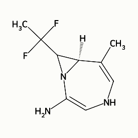 CC1=CNC=C(N)N2C(C(C)(F)F)[C@@H]12